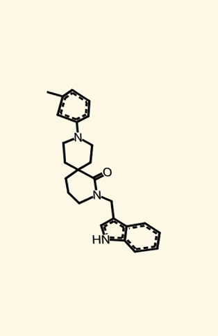 Cc1cccc(N2CCC3(CCCN(Cc4c[nH]c5ccccc45)C3=O)CC2)c1